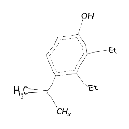 C=C(C)c1ccc(O)c(CC)c1CC